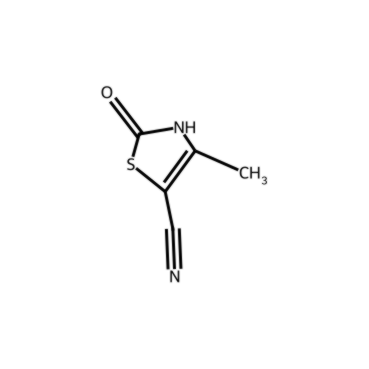 Cc1[nH]c(=O)sc1C#N